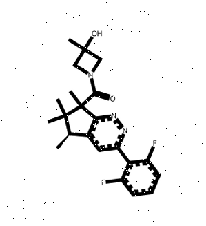 C[C@@H]1c2cc(-c3c(F)cccc3F)nnc2C(C)(C(=O)N2CC(C)(O)C2)C1(C)C